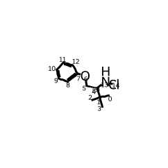 CC(C)(C)[C@@H](COc1ccccc1)NCl